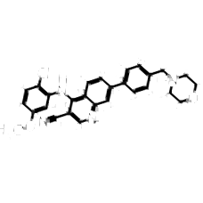 COc1ccc(Cl)c(Nc2c(C#N)cnc3cc(-c4ccc(CN5CCOCC5)cc4)ccc23)c1